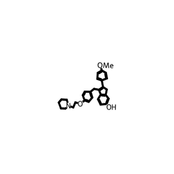 COc1ccc(C2=C(Cc3ccc(OCCN4CCCCC4)cc3)c3ccc(O)cc3C2)cc1